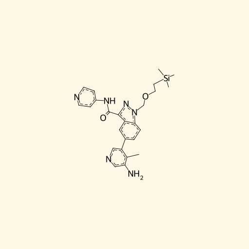 Cc1c(N)cncc1-c1ccc2c(c1)c(C(=O)Nc1ccncc1)nn2COCC[Si](C)(C)C